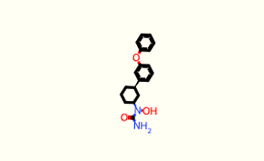 NC(=O)N(O)[C@H]1CCC[C@@H](c2cccc(Oc3ccccc3)c2)C1